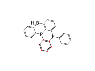 Bc1cccc(P(c2ccccc2)c2ccccc2)c1P(c1ccccc1)c1ccccc1